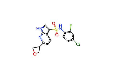 O=S(=O)(Nc1ccc(Cl)cc1F)c1c[nH]c2nc(C3COC3)ccc12